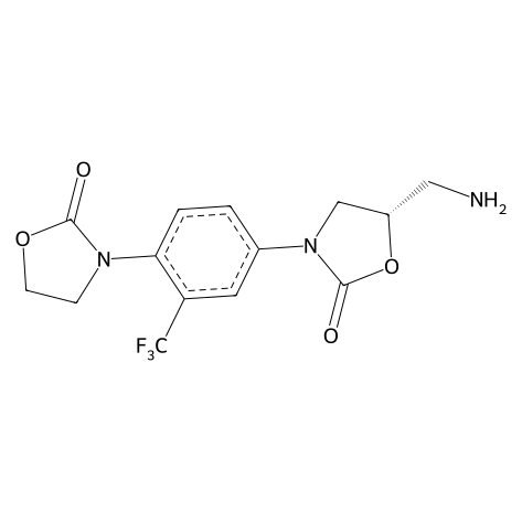 NC[C@H]1CN(c2ccc(N3CCOC3=O)c(C(F)(F)F)c2)C(=O)O1